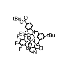 CCOc1cc(C(=O)OC(C)(C)C)ccc1N(Cc1cc(C2CC2)cc(C(C)(C)C)c1)C(=O)CN(Cc1cccnc1Cl)S(=O)(=O)c1c(F)c(F)c(F)c(F)c1Br